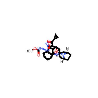 CC(C)(C)OC(=O)NNC(=O)c1ccc(N2[C@@H]3CC[C@H]2CC(OCc2c(-c4ccccc4OC(F)(F)F)noc2C2CC2)C3)nc1